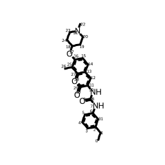 CCc1cccc(NC(=O)Nc2cc3ccc(OC4CCN(C)CC4)c(C)c3oc2=O)c1